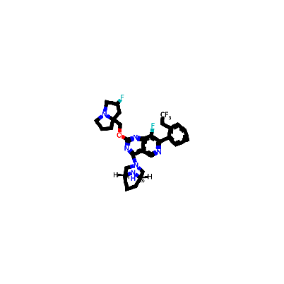 Fc1c(-c2ccccc2CC(F)(F)F)ncc2c(N3C[C@H]4CC[C@@H](C3)N4)nc(OCC34CCCN3CC(F)C4)nc12